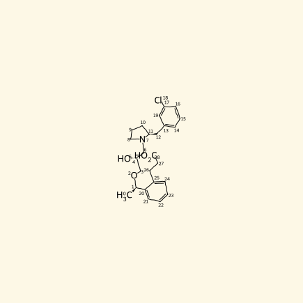 C[C@@H](OC[C@H](O)CN1CCC[C@H]1Cc1cccc(Cl)c1)c1ccccc1CCC(=O)O